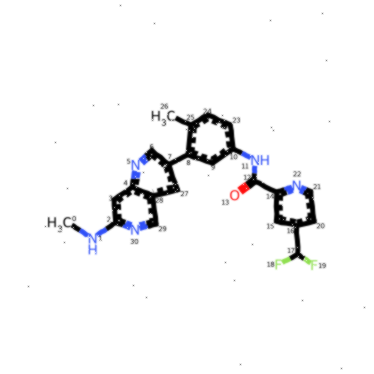 CNc1cc2ncc(-c3cc(NC(=O)c4cc(C(F)F)ccn4)ccc3C)cc2cn1